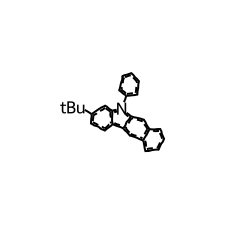 CC(C)(C)c1ccc2c3cc4ccccc4cc3n(-c3ccccc3)c2c1